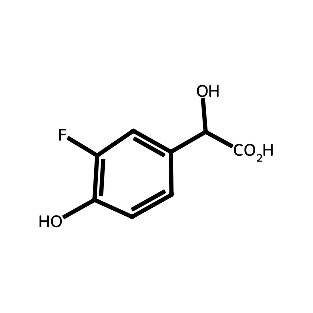 O=C(O)C(O)c1ccc(O)c(F)c1